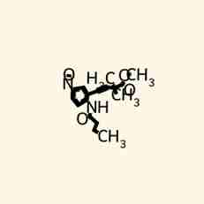 CCCC(=O)Nc1ccc(N=O)cc1C#CC(C)(C)C(=O)OC